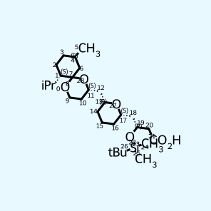 CC(C)[C@@H]1CC[C@@H](C)CC12OCC[C@@H](C[C@H]1CCC[C@@H](C[C@H](CC(=O)O)O[Si](C)(C)C(C)(C)C)O1)O2